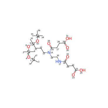 C[Si](C)(C)O[Si](C)(C)O[Si](C)(CCCN(CCNC(=O)CCC(=O)O)C(=O)CCC(=O)O)O[Si](C)(C)C